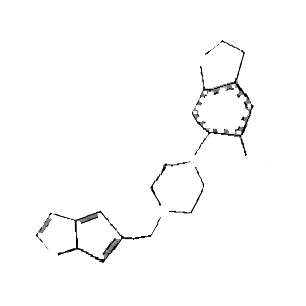 COc1cc2c(cc1N1CCN(CC3=CC4SC=CC4=C3)CC1)OCC2